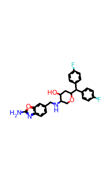 Nc1nc2ccc(CNC3COC(C(c4ccc(F)cc4)c4ccc(F)cc4)CC3O)cc2o1